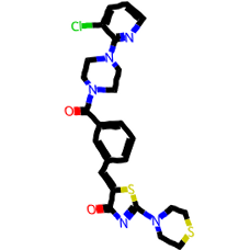 O=C1N=C(N2CCSCC2)SC1=Cc1cccc(C(=O)N2CCN(c3ncccc3Cl)CC2)c1